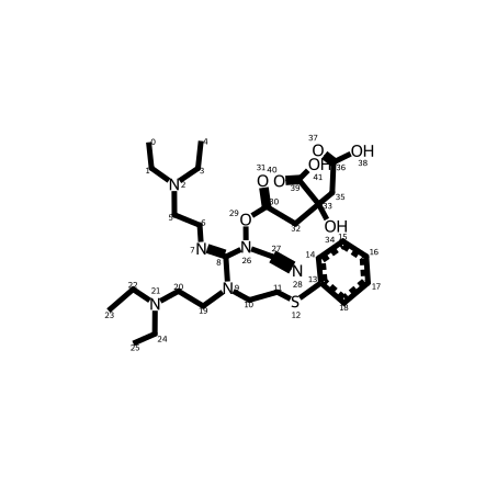 CCN(CC)CCN=C(N(CCSc1ccccc1)CCN(CC)CC)N(C#N)OC(=O)CC(O)(CC(=O)O)C(=O)O